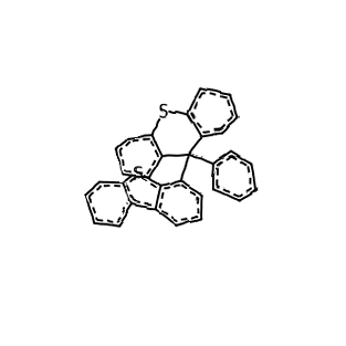 c1ccc(C2(c3cccc4c3sc3ccccc34)c3ccccc3Sc3ccccc32)cc1